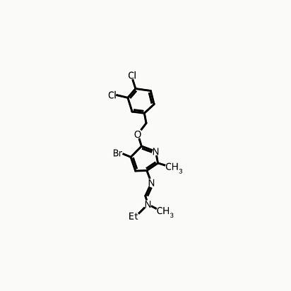 CCN(C)/C=N/c1cc(Br)c(OCc2ccc(Cl)c(Cl)c2)nc1C